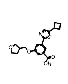 O=C(O)c1cc(OCC2CCOC2)cc(-c2ncc(C3CCC3)s2)c1